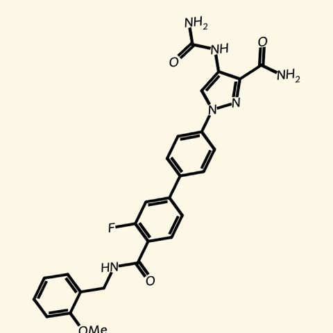 COc1ccccc1CNC(=O)c1ccc(-c2ccc(-n3cc(NC(N)=O)c(C(N)=O)n3)cc2)cc1F